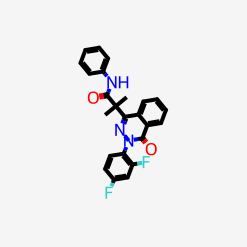 CC(C)(C(=O)Nc1ccccc1)c1nn(-c2ccc(F)cc2F)c(=O)c2ccccc12